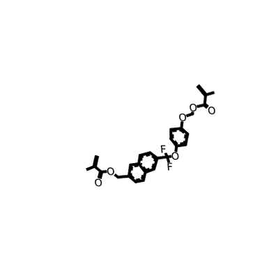 C=C(C)C(=O)OCOc1ccc(OC(F)(F)c2ccc3cc(COC(=O)C(=C)C)ccc3c2)cc1